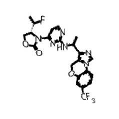 CC(Nc1nccc(N2C(=O)OC[C@@H]2C(C)F)n1)c1ncn2c1COc1cc(C(F)(F)F)ccc1-2